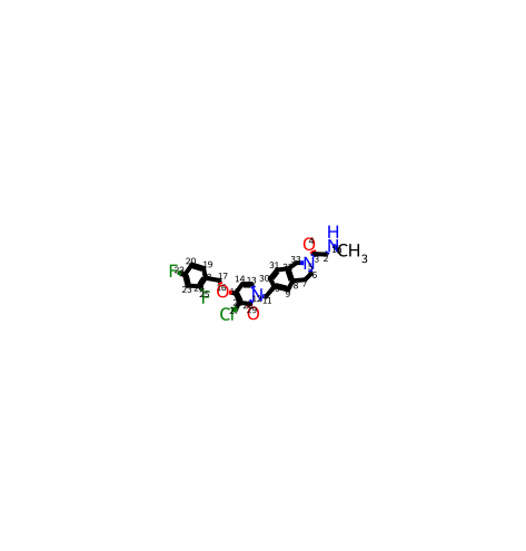 CNCC(=O)N1CCc2cc(Cn3ccc(OCc4ccc(F)cc4F)c(Cl)c3=O)ccc2C1